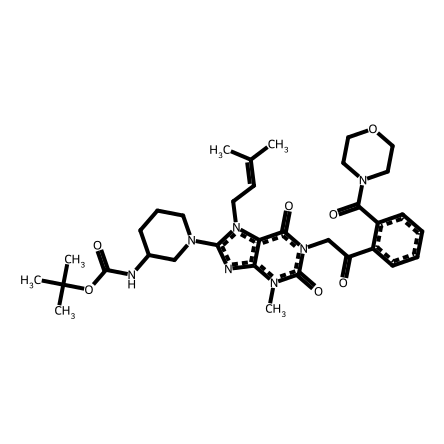 CC(C)=CCn1c(N2CCCC(NC(=O)OC(C)(C)C)C2)nc2c1c(=O)n(CC(=O)c1ccccc1C(=O)N1CCOCC1)c(=O)n2C